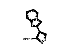 CCCCCc1nocc1-c1cn2ccccc2n1